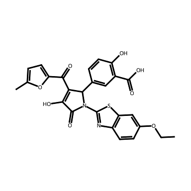 CCOc1ccc2nc(N3C(=O)C(O)=C(C(=O)c4ccc(C)o4)C3c3ccc(O)c(C(=O)O)c3)sc2c1